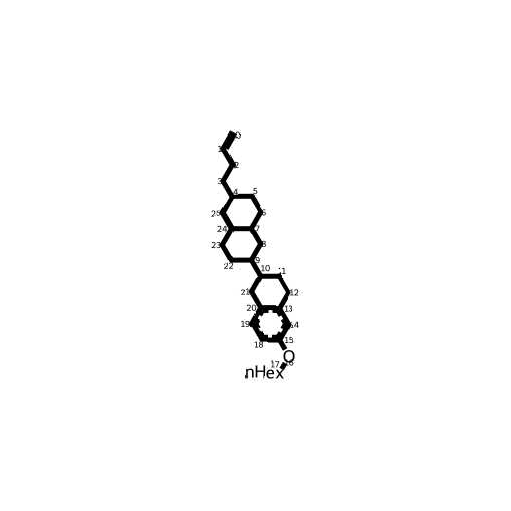 C=CCCC1CCC2CC(C3CCc4cc(OCCCCCC)ccc4C3)CCC2C1